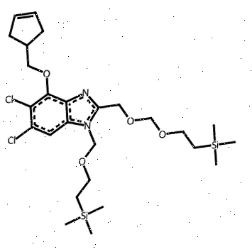 C[Si](C)(C)CCOCOCc1nc2c(OCC3CC=CC3)c(Cl)c(Cl)cc2n1COCC[Si](C)(C)C